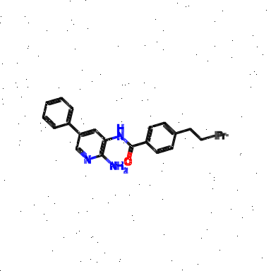 C[C](C)CCc1ccc(C(=O)Nc2cc(-c3ccccc3)cnc2N)cc1